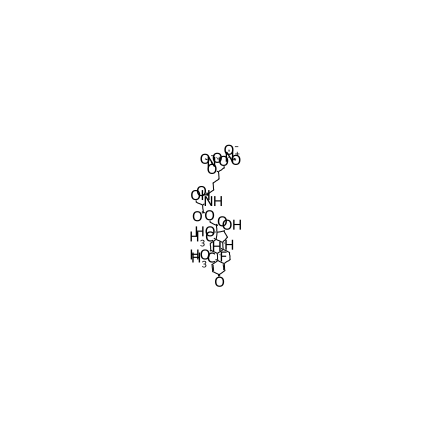 C[C@]12C=CC(=O)C=C1CC[C@H]1[C@@H]3C[C@@H](O)[C@](O)(C(=O)COC(=O)C(CO)NC(=O)CCCC(CO[N+](=O)[O-])O[N+](=O)[O-])[C@@]3(C)C[C@H](O)[C@@]12F